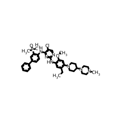 CCc1cc(Nc2ncc(Cl)c(Nc3ccc(-c4ccccc4)cc3P(C)(C)=O)n2)c(OC)cc1N1CCC(N2CCN(C)CC2)CC1